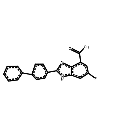 O=C(O)c1cc(F)cc2[nH]c(-c3ccc(-c4ccccc4)cc3)nc12